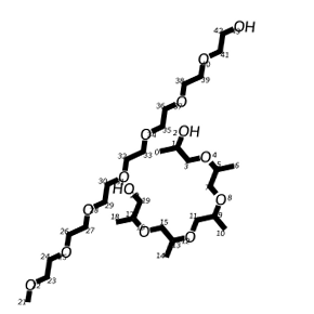 CC(O)COC(C)COC(C)COC(C)COC(C)CO.COCCOCCOCCOCCOCCOCCOCCO